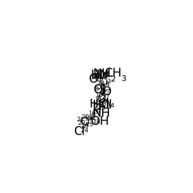 CNc1ccc(S(=O)(=O)c2ccc(CCNC[C@@H](O)c3cccc(Cl)c3)cc2)cc1C(N)=O.Cl.Cl